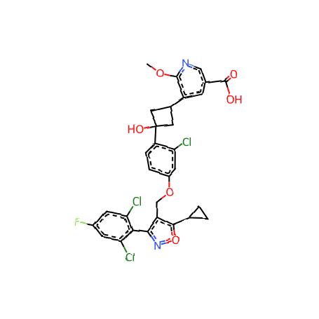 COc1ncc(C(=O)O)cc1C1CC(O)(c2ccc(OCc3c(-c4c(Cl)cc(F)cc4Cl)noc3C3CC3)cc2Cl)C1